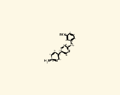 N#Cc1cccc(Oc2ncc(-c3ccc(N)nc3)cn2)c1